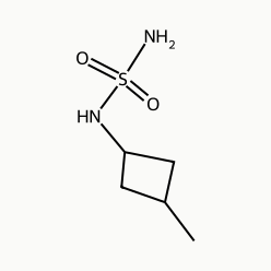 CC1CC(NS(N)(=O)=O)C1